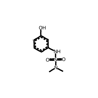 CN(C)S(=O)(=O)Nc1cc[c]c(O)c1